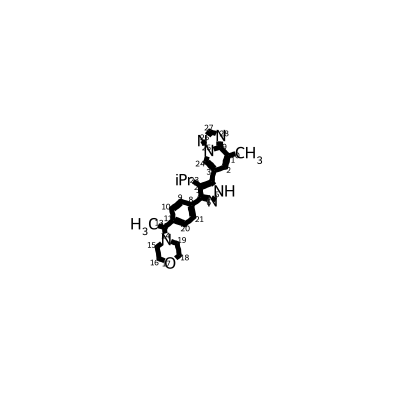 Cc1cc(-c2[nH]nc(-c3ccc(C(C)N4CCOCC4)cc3)c2C(C)C)cn2ncnc12